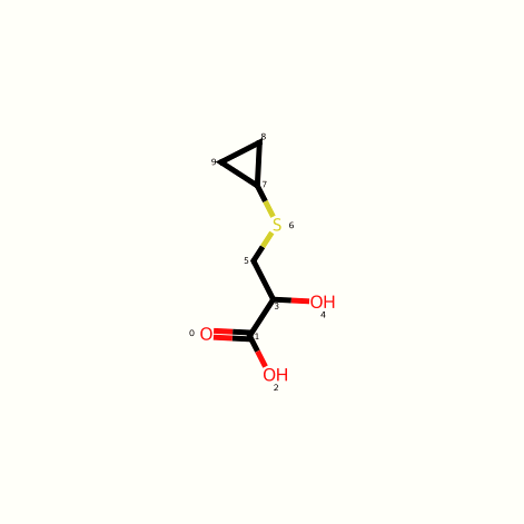 O=C(O)C(O)CSC1CC1